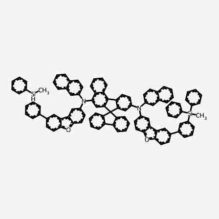 C[SiH](c1ccccc1)c1cccc(-c2ccc3oc4ccc(N(c5ccc6ccccc6c5)c5cc6c(c7ccccc57)-c5ccc(N(c7ccc8ccccc8c7)c7ccc8oc9ccc(-c%10cccc([Si](C)(c%11ccccc%11)c%11ccccc%11)c%10)cc9c8c7)cc5C65c6ccccc6-c6ccccc65)cc4c3c2)c1